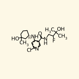 CC1(O)CCC[C@H](Nc2cc(Cl)ncc2C(=O)NCC(F)C(C)(C)O)C1